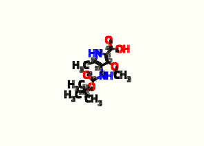 COc1c(C(=O)O)[nH]c(C)c1NC(=O)OC(C)(C)C